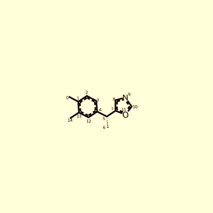 Cc1ccc([C@@H](C)c2cnco2)cc1C